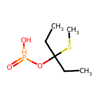 CCC(CC)(O[PH](=O)O)SC